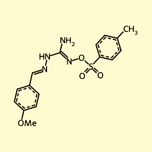 COc1ccc(C=NNC(N)=NOS(=O)(=O)c2ccc(C)cc2)cc1